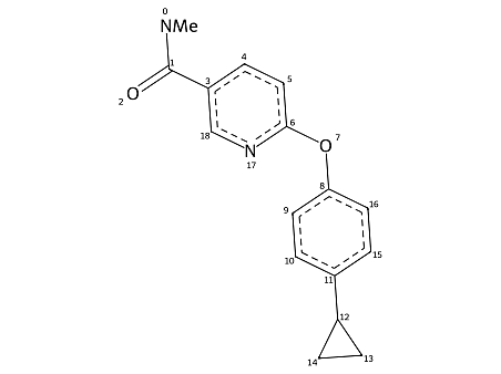 CNC(=O)c1ccc(Oc2ccc(C3CC3)cc2)nc1